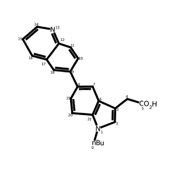 CCCCn1cc(CC(=O)O)c2cc(-c3ccc4ncccc4c3)ccc21